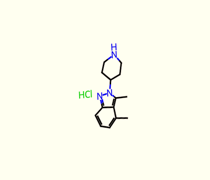 Cc1cccc2nn(C3CCNCC3)c(C)c12.Cl